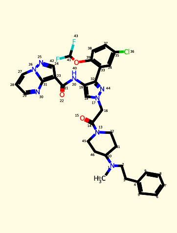 CN(CCc1ccccc1)C1CCN(C(=O)Cn2cc(NC(=O)c3cnn4cccnc34)c(-c3cc(Cl)ccc3OC(F)F)n2)CC1